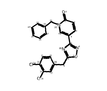 O=c1ccc(-c2noc(Cc3ccc(Cl)c(Cl)c3)n2)cn1Cc1ccccc1